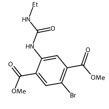 CCNC(=O)Nc1cc(C(=O)OC)c(Br)cc1C(=O)OC